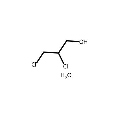 O.OCC(Cl)CCl